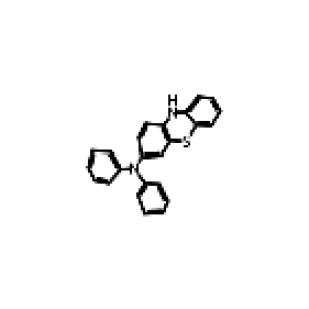 c1ccc(N(c2ccccc2)c2ccc3c(c2)Sc2ccccc2N3)cc1